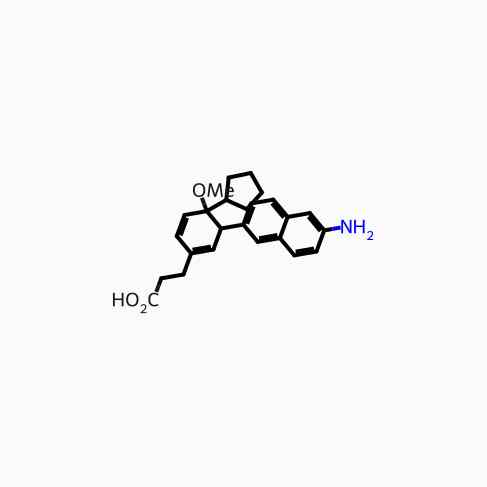 COC1(C2CCCC2)C=CC(CCC(=O)O)=CC1c1ccc2cc(N)ccc2c1